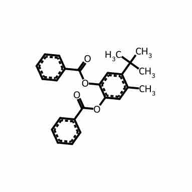 Cc1cc(OC(=O)c2ccccc2)c(OC(=O)c2ccccc2)cc1C(C)(C)C